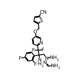 N#Cc1ccc(COc2ccc(C(F)(F)C(N)(CN(N)/N=C\N)c3ccc(F)cc3F)nc2)s1